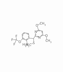 COc1cc(OC)nc(C(SC)c2cccc(OC(F)(F)F)c2N)n1